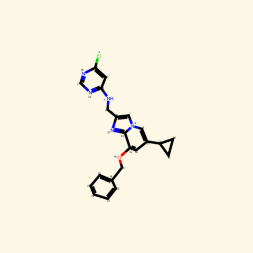 Clc1cc(NCc2cn3cc(C4CC4)cc(OCc4ccccc4)c3n2)ncn1